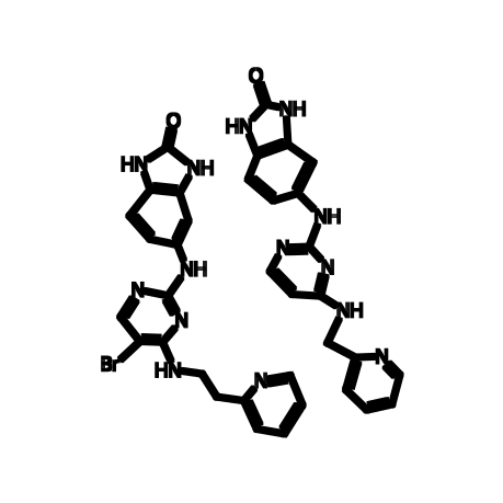 O=c1[nH]c2ccc(Nc3ncc(Br)c(NCCc4ccccn4)n3)cc2[nH]1.O=c1[nH]c2ccc(Nc3nccc(NCc4ccccn4)n3)cc2[nH]1